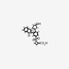 O=C(O)C1CCN1S(=O)(=O)c1ccc(N2CCC(O)C2)c(-c2cc3ccccc3[nH]2)c1